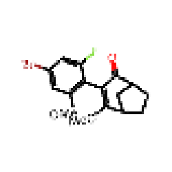 COC1=C(c2c(F)cc(Br)cc2OC)C(=O)C2CCC1C2